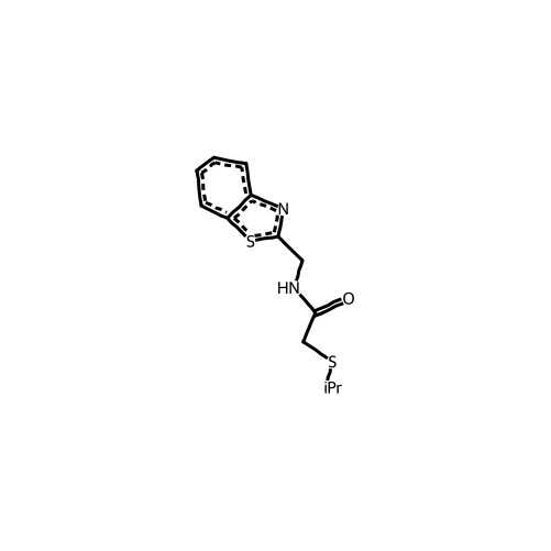 CC(C)SCC(=O)NCc1nc2ccccc2s1